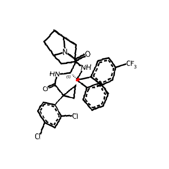 O=C([C@H](Cc1ccc(C(F)(F)F)cc1)NC(=O)C1(c2ccc(Cl)cc2Cl)CC1)N1C2CCC1CC(NCc1ccccc1)C2